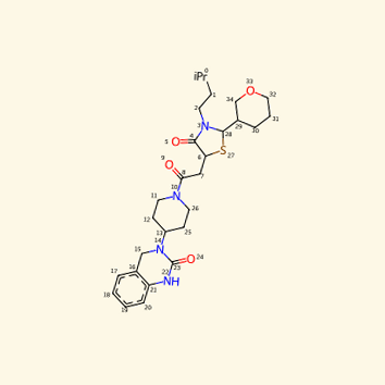 CC(C)CCN1C(=O)C(CC(=O)N2CCC(N3Cc4ccccc4NC3=O)CC2)SC1C1CCCOC1